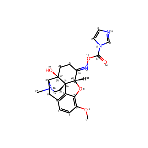 COc1ccc2c3c1O[C@H]1C(=NOC(=O)n4ccnc4)CC[C@@]4(O)C(C2)N(C)CC[C@]314